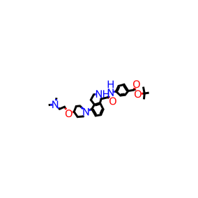 CN(C)CCOC1CCN(c2cccc3c2CCNC3C(=O)Nc2ccc(C(=O)OC(C)(C)C)cc2)CC1